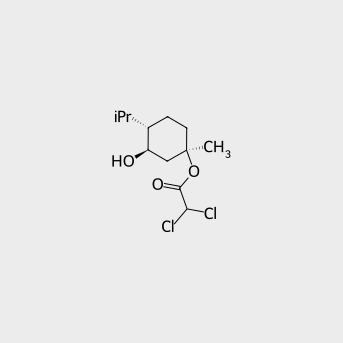 CC(C)[C@@H]1CC[C@@](C)(OC(=O)C(Cl)Cl)C[C@H]1O